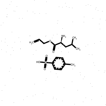 C=CCOC(=O)[C@@H](N)CC(C)C.Cc1ccc(S(=O)(=O)O)cc1